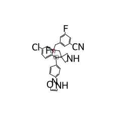 C[C@](F)(Cc1cc(F)cc(C#N)c1)CC1([C@H](c2ccc(Cl)cc2)c2ccc(N3NC=CO3)cc2)CNC1